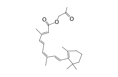 CC(=O)COC(=O)C=C(C)C=C/C=C(/C)C=CC1=C(C)CCCC1(C)C